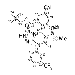 COC(=O)C1=C(C)N(c2cccc(C(F)(F)F)c2)c2n[nH]c(=O)n2C1c1ccc(C#N)cc1CCC[N+](C)(C)C.[Br-]